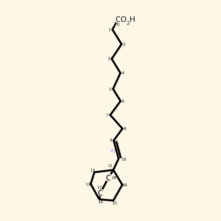 O=C(O)CCCCCCCC/C=C/C12CCC(CC1)CC2